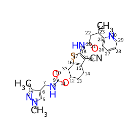 Cc1nn(C)cc1CNC(=O)OC1CCc2c(sc(NC(=O)CC(C)c3ccccn3)c2C#N)C1